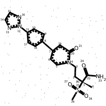 C[C@@](CCn1ccc(-c2ccc(-n3nccn3)cc2)cc1=O)(C(N)=O)S(C)(=O)=O